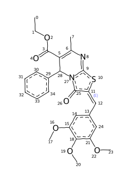 CCOC(=O)C1=C(C)N=c2s/c(=C/c3cc(OC)c(OC)c(OC)c3)c(=O)n2C1c1ccccc1